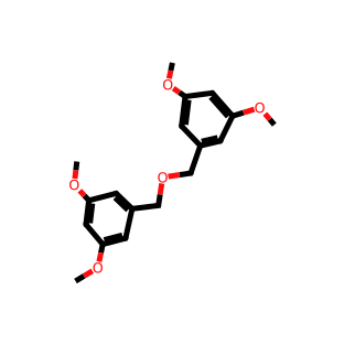 COc1cc(COCc2cc(OC)cc(OC)c2)cc(OC)c1